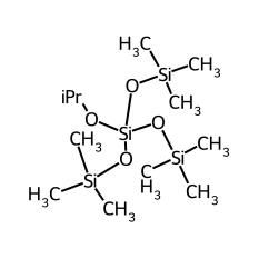 CC(C)O[Si](O[Si](C)(C)C)(O[Si](C)(C)C)O[Si](C)(C)C